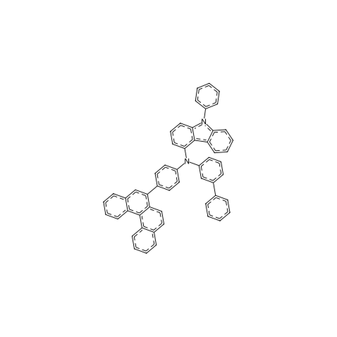 c1ccc(-c2cccc(N(c3ccc(-c4cc5ccccc5c5c4ccc4ccccc45)cc3)c3cccc4c3c3ccccc3n4-c3ccccc3)c2)cc1